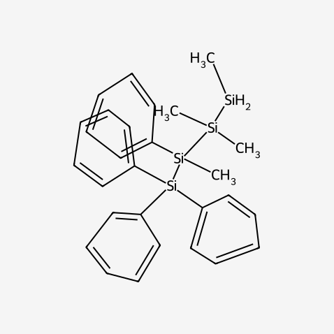 C[SiH2][Si](C)(C)[Si](C)(c1ccccc1)[Si](c1ccccc1)(c1ccccc1)c1ccccc1